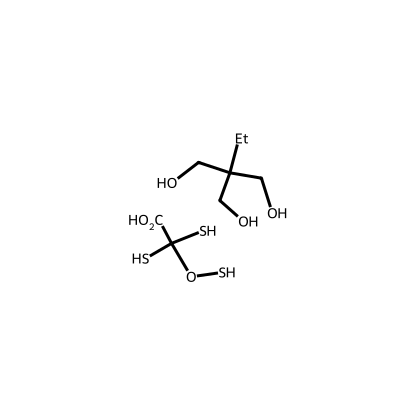 CCC(CO)(CO)CO.O=C(O)C(S)(S)OS